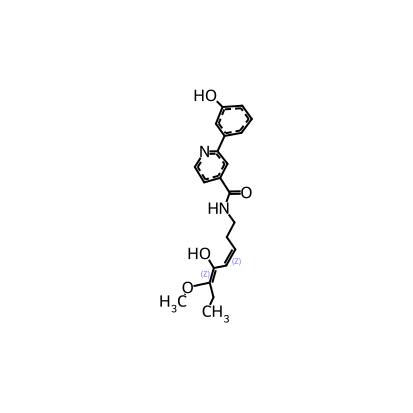 CC/C(OC)=C(O)\C=C/CCNC(=O)c1ccnc(-c2cccc(O)c2)c1